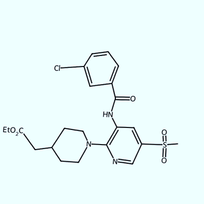 CCOC(=O)CC1CCN(c2ncc(S(C)(=O)=O)cc2NC(=O)c2cccc(Cl)c2)CC1